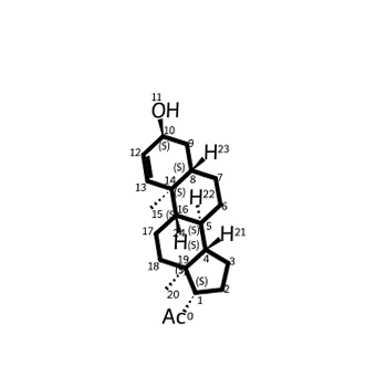 CC(=O)[C@H]1CC[C@H]2[C@@H]3CC[C@H]4C[C@H](O)C=C[C@]4(C)[C@H]3CC[C@]12C